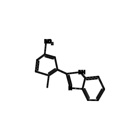 Cc1ccc([N+](=O)[O-])cc1-c1nc2ccccc2[nH]1